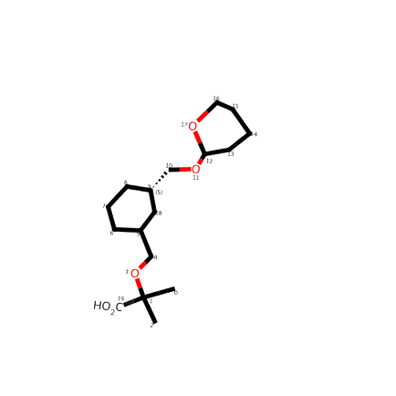 CC(C)(OCC1CCC[C@H](COC2CCCCO2)C1)C(=O)O